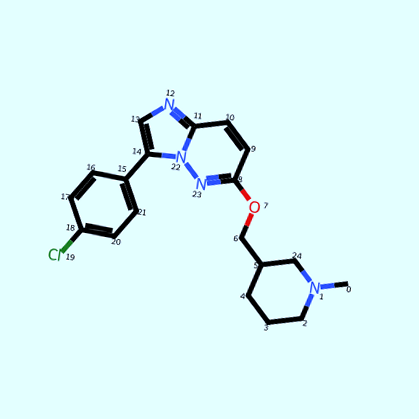 CN1CCCC(COc2ccc3ncc(-c4ccc(Cl)cc4)n3n2)C1